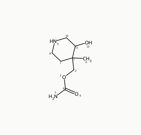 CC1(COC(N)=O)CCNCC1O